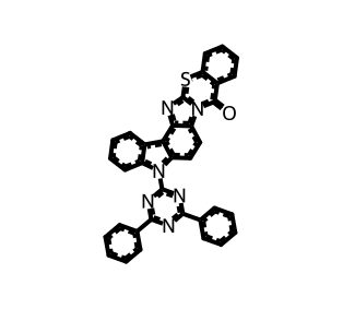 O=c1c2ccccc2sc2nc3c4c5ccccc5n(-c5nc(-c6ccccc6)nc(-c6ccccc6)n5)c4ccc3n12